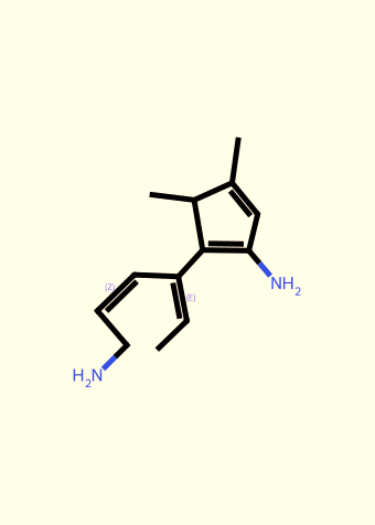 C/C=C(\C=C/CN)C1=C(N)C=C(C)C1C